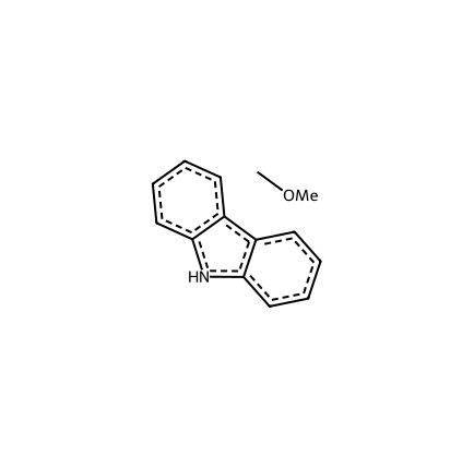 COC.c1ccc2c(c1)[nH]c1ccccc12